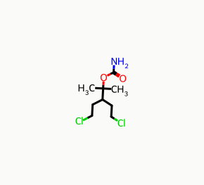 CC(C)(OC(N)=O)C(CCCl)CCCl